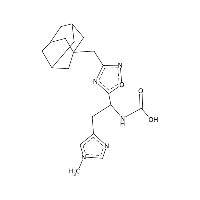 Cn1cnc(CC(NC(=O)O)c2nc(CC34CC5CC(CC(C5)C3)C4)no2)c1